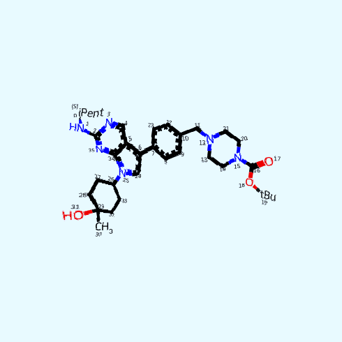 CCC[C@H](C)Nc1ncc2c(-c3ccc(CN4CCN(C(=O)OC(C)(C)C)CC4)cc3)cn(C3CCC(C)(O)CC3)c2n1